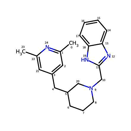 Cc1cc(CC2CCCN(Cc3nc4ccccc4[nH]3)C2)cc(C)n1